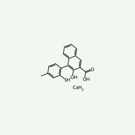 Cc1ccc(-c2c(O)c(C(=O)O)cc3ccccc23)c(S)c1.[CaH2]